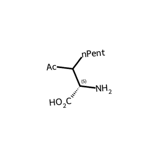 CCCCCC(C(C)=O)[C@H](N)C(=O)O